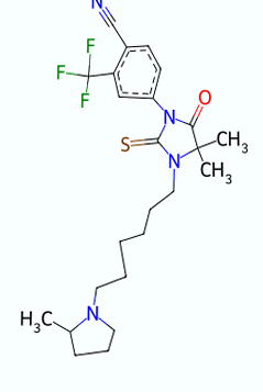 CC1CCCN1CCCCCCN1C(=S)N(c2ccc(C#N)c(C(F)(F)F)c2)C(=O)C1(C)C